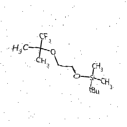 CC(C)(OCCO[Si](C)(C)C(C)(C)C)C(F)(F)F